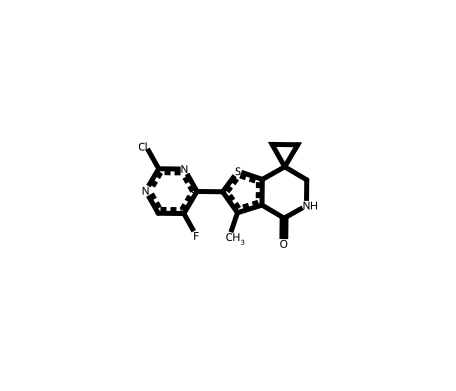 Cc1c(-c2nc(Cl)ncc2F)sc2c1C(=O)NCC21CC1